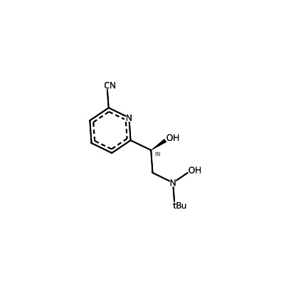 CC(C)(C)N(O)C[C@H](O)c1cccc(C#N)n1